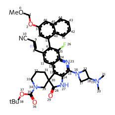 COCOc1cc(-c2c(/C=C/C#N)cc3c4c(c(N5CC(N(C)C)C5)nc3c2F)NC(=O)C42CCCN(C(=O)OC(C)(C)C)C2)c2ccccc2c1